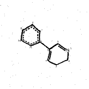 C1=NCCC=C1c1ccccc1